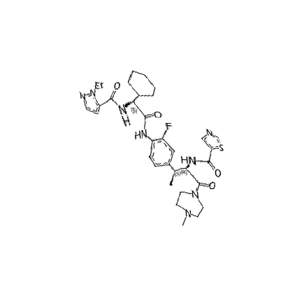 CCn1nccc1C(=O)N[C@H](C(=O)Nc1ccc([C@H](C)[C@@H](NC(=O)c2cncs2)C(=O)N2CCN(C)CC2)cc1F)C1CCCCC1